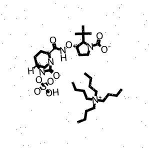 CC(C)(C)C1[C@@H](ONC(=O)[C@@H]2CC[C@@H]3CN2C(=O)N3OS(=O)(=O)O)CCN1C(=O)[O-].CCCC[N+](CCCC)(CCCC)CCCC